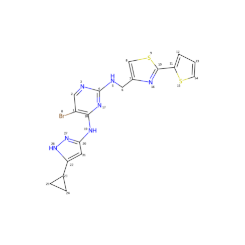 Brc1cnc(NCc2csc(-c3cccs3)n2)nc1Nc1cc(C2CC2)[nH]n1